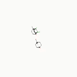 CC12CCC(OCC34CCC(O)(CC3)CC4)(CC1)C(F)=C2F